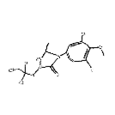 COc1c(Cl)cc(N2C(=O)N(SC(Cl)(Cl)Cl)NC2C)cc1Cl